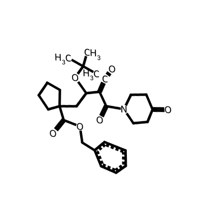 CC(C)(C)OC(CC1(C(=O)OCc2ccccc2)CCCC1)C(=C=O)C(=O)N1CCC(=O)CC1